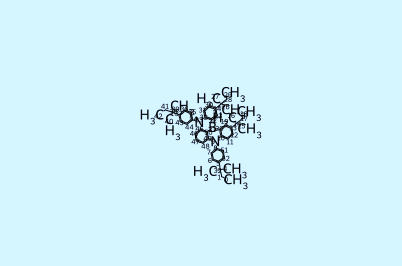 CCC(C)(C)c1ccc(N2c3ccc(C(C)(C)CC)cc3B3c4cc(C(C)(C)CC)ccc4N(c4ccc(C(C)(C)CC)cc4)c4cccc2c43)cc1